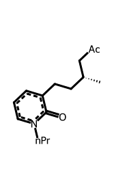 CCCn1cccc(CC[C@@H](C)CC(C)=O)c1=O